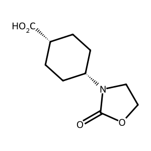 O=C1OCCN1[C@H]1CC[C@@H](C(=O)O)CC1